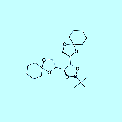 CC(C)(C)B1O[C@@H]([C@H]2COC3(CCCCC3)O2)[C@H]([C@H]2COC3(CCCCC3)O2)O1